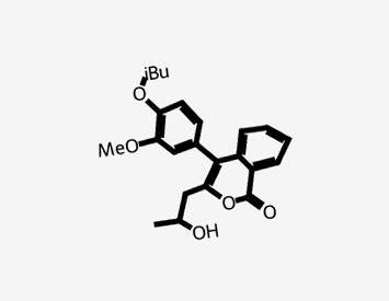 CCC(C)Oc1ccc(-c2c(CC(C)O)oc(=O)c3ccccc23)cc1OC